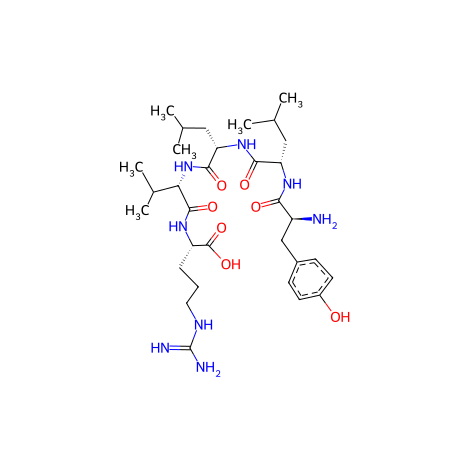 CC(C)C[C@H](NC(=O)[C@H](CC(C)C)NC(=O)[C@@H](N)Cc1ccc(O)cc1)C(=O)N[C@H](C(=O)N[C@@H](CCCNC(=N)N)C(=O)O)C(C)C